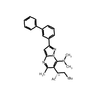 CC(=O)[C@@H](CC(C)(C)C)c1c(C)nc2cc(-c3cccc(-c4ccccc4)c3)nn2c1N(C)C